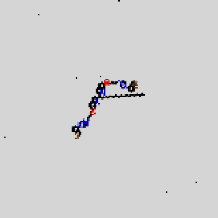 CCCCCCCCCCCCCCCCCC(c1ccc2ccc(OCCCCN3CCN(c4cccc5sccc45)CC3)cc2n1)c1ccc2ccc(OCCCCN3CCN(c4cccc5sccc45)CC3)cc2n1